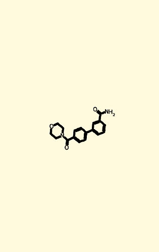 NC(=O)c1cccc(-c2ccc(C(=O)N3CCOCC3)cc2)c1